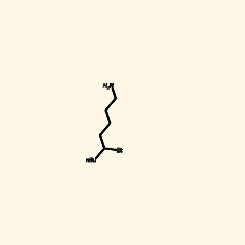 CCCCC(CC)CCCCN